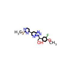 COc1ccc(C(CO)c2nnc3cc(-c4ccnc(SC)n4)cnn23)cc1F